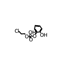 O=P(O)(OCCCl)Oc1ccccc1O